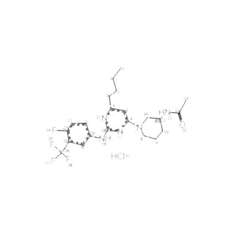 CCCCc1cc(N2CCC[C@@H](NC(C)=O)C2)nc(Nc2ccc(F)c(C(F)(F)F)c2)n1.Cl